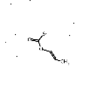 CC=COC(=O)[S]